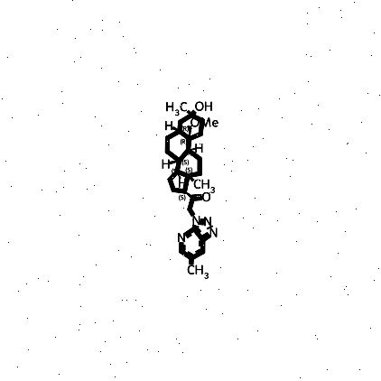 COC[C@]12CC[C@@](C)(O)C[C@H]1CC[C@H]1[C@@H]3CC[C@H](C(=O)Cn4nnc5cc(C)cnc54)[C@@]3(C)CC[C@@H]12